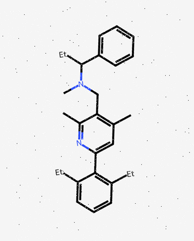 CCc1cccc(CC)c1-c1cc(C)c(CN(C)C(CC)c2ccccc2)c(C)n1